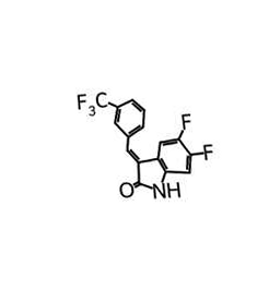 O=C1Nc2cc(F)c(F)cc2/C1=C\c1cccc(C(F)(F)F)c1